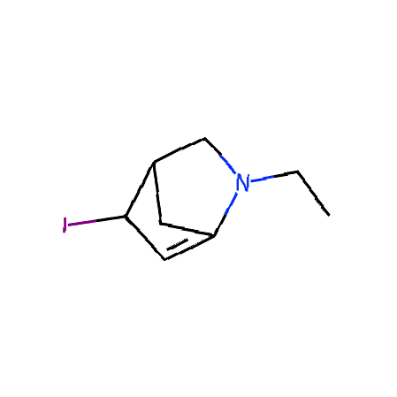 CCN1CC2CC1=CC2I